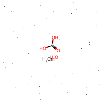 O.O=[Si](O)O.[CaH2]